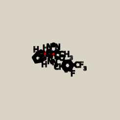 Cc1cc(N2C[C@H]3CC[C@@H](C2)C3Nc2nc(Oc3ccc(F)c(C(F)(F)F)c3)n(C)n2)ncn1